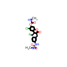 CNC(=O)Oc1cc2oc(=O)c(Cc3cccc(NS(=O)(=O)NC)c3)c(CF)c2cc1Cl